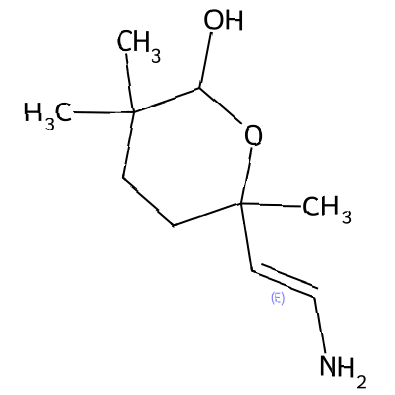 CC1(/C=C/N)CCC(C)(C)C(O)O1